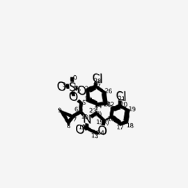 CS(=O)(=O)OCC(C1CC1)N1C(=O)CO[C@H](c2cccc(Cl)c2)[C@H]1c1ccc(Cl)cc1